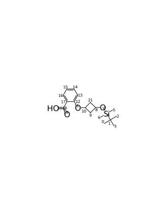 CC(C)(C)[Si](C)(C)OC1CC(Oc2ccccc2C(=O)O)C1